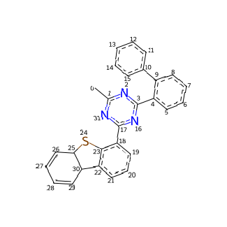 Cc1nc(-c2ccccc2-c2ccccc2)nc(-c2cccc3c2SC2C=CC=CC32)n1